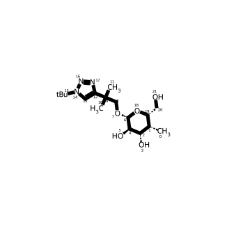 C[C@@H]1[C@H](O)[C@@H](O)[C@H](OCC(C)(C)c2cn(C(C)(C)C)nn2)O[C@@H]1CO